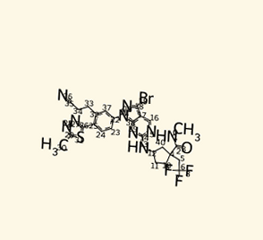 CNC(=O)C1(CC(F)(F)F)CC[C@@H](Nc2ncc3c(Br)nn(-c4ccc(-c5nnc(C)s5)c(CCC#N)c4)c3n2)C1